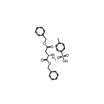 Cc1ccc(S(=O)(=O)O)cc1.N[C@H](CC(=O)OCc1ccccc1)C(=O)OCc1ccccc1